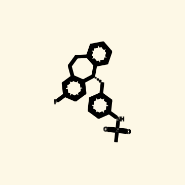 CS(=O)(=O)Nc1cccc(C[C@H]2c3ccccc3CCc3cc(F)ccc32)c1